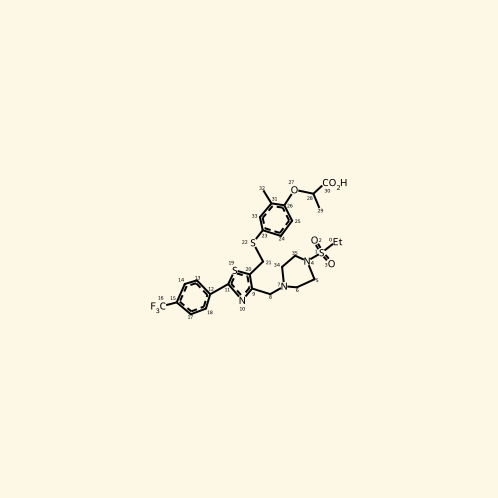 CCS(=O)(=O)N1CCN(Cc2nc(-c3ccc(C(F)(F)F)cc3)sc2CSc2ccc(OC(C)C(=O)O)c(C)c2)CC1